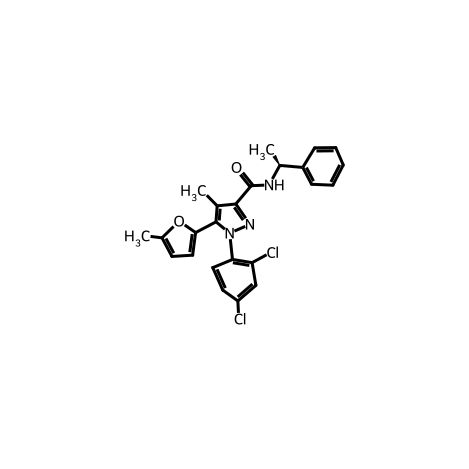 Cc1ccc(-c2c(C)c(C(=O)N[C@@H](C)c3ccccc3)nn2-c2ccc(Cl)cc2Cl)o1